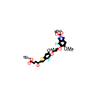 COc1cc2c(c(F)c1OCCCOc1c(OC)cc3sc(C(=O)CCC(=O)OC(C)(C)C)cc3c1F)CN(C(=O)OC(C)(C)C)C2